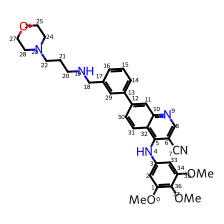 COc1cc(Nc2c(C#N)cnc3cc(-c4cccc(CNCCCN5CCOCC5)c4)ccc23)cc(OC)c1OC